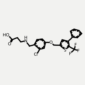 O=C(O)CCNCc1ccc(OCc2cc(-c3ccccc3)c(C(F)(F)F)s2)cc1Cl